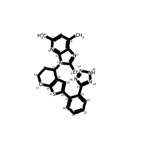 CCc1nc2c(C)cc(C)nc2n1C1CCOc2sc(-c3ccccc3-c3nn[nH]n3)cc21